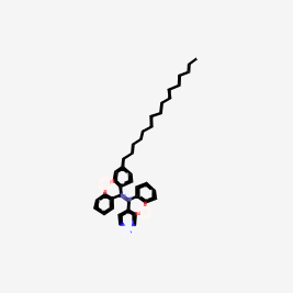 CCCCCCCCCCCCCCCCc1ccc2c(c1)Oc1ccccc1/C2=C1/c2ccccc2Oc2cnccc21